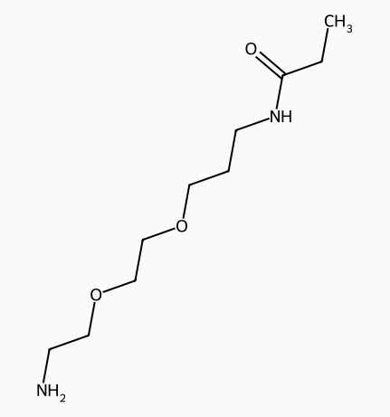 CCC(=O)NCCCOCCOCCN